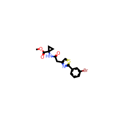 COC(=O)C1(NC(=O)Cc2csc(-c3cccc(Br)c3)n2)CC1